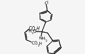 CC(N)(Cc1ccccc1)c1ccc(Cl)cc1.O=C(O)/C=C\C(=O)O